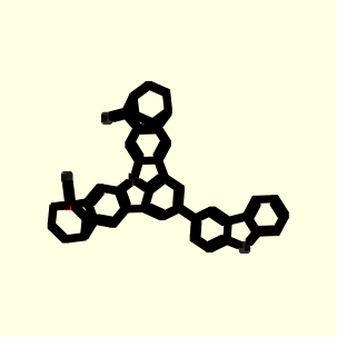 O=C1c2cc3c(cc2C2CCC1CC2)c1cc(-c2ccc4oc5ccccc5c4c2)cc2c4cc5c(cc4n3c12)C(=O)C1CCC5CC1